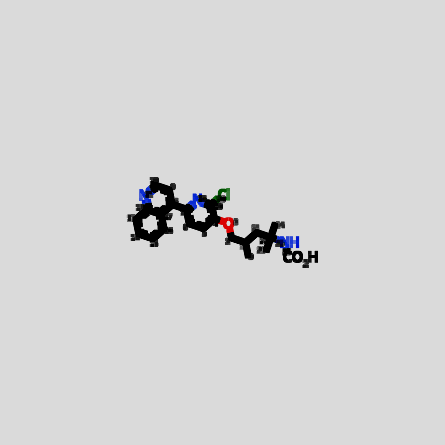 CC(COc1ccc(-c2ccnc3ccccc23)nc1Cl)CC(C)(C)NC(=O)O